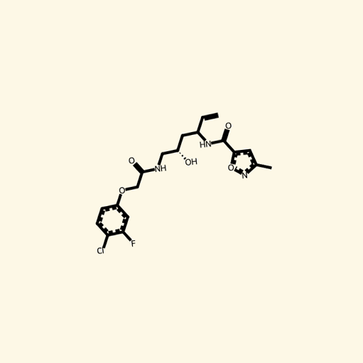 C=CC(C[C@H](O)CNC(=O)COc1ccc(Cl)c(F)c1)NC(=O)c1cc(C)no1